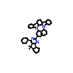 CC1(C)c2ccccc2-c2nc(-c3cccc(-n4c5ccccc5c5ccc6c7ccccc7n(-c7ccccc7)c6c54)c3)nc(-c3ccccc3)c21